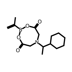 C=C(C)B1OC(=O)CN(C(C)C2CCCCC2)CC(=O)O1